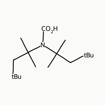 CC(C)(C)CC(C)(C)N(C(=O)O)C(C)(C)CC(C)(C)C